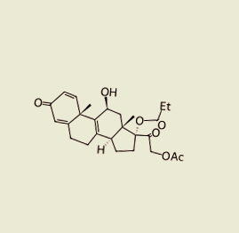 CCC(=O)O[C@]1(C(=O)COC(C)=O)CC[C@H]2C3=C([C@@H](O)C[C@@]21C)[C@@]1(C)C=CC(=O)C=C1CC3